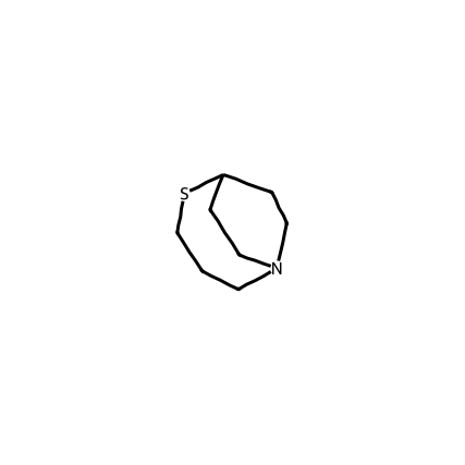 C1CSC2CCN(C1)CC2